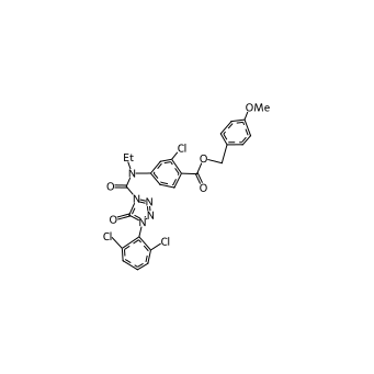 CCN(C(=O)n1nnn(-c2c(Cl)cccc2Cl)c1=O)c1ccc(C(=O)OCc2ccc(OC)cc2)c(Cl)c1